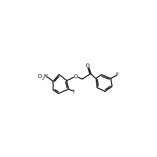 O=C(COc1cc([N+](=O)[O-])ccc1I)c1cccc(F)c1